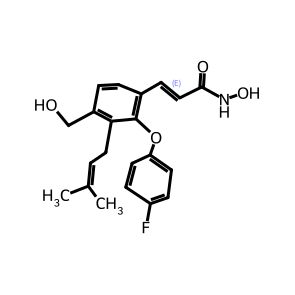 CC(C)=CCc1c(CO)ccc(/C=C/C(=O)NO)c1Oc1ccc(F)cc1